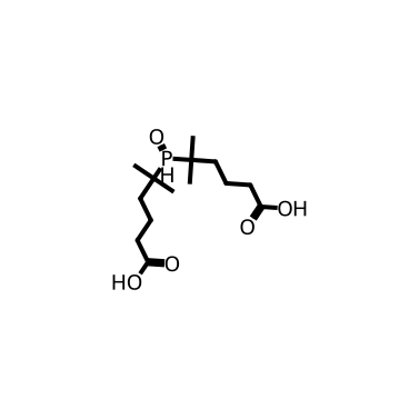 CC(C)(CCCC(=O)O)[PH](=O)C(C)(C)CCCC(=O)O